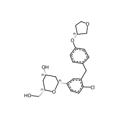 OC[C@@H]1C[C@H](O)C[C@H](c2ccc(Cl)c(Cc3ccc(O[C@@H]4CCOC4)cc3)c2)O1